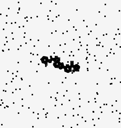 C[C@H](Oc1ccccc1F)c1nnc2c3cc(-c4ccnc(Nc5ccnn5C)n4)cn3ccn12